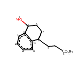 CCOC(=O)CCC1CCC(O)c2ccccc21